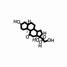 C[C@]12CC(=O)C3C(CC[C@@H]4C[C@H](O)CC[C@]34C)C1CC[C@]2(O)C(O)(O)CO